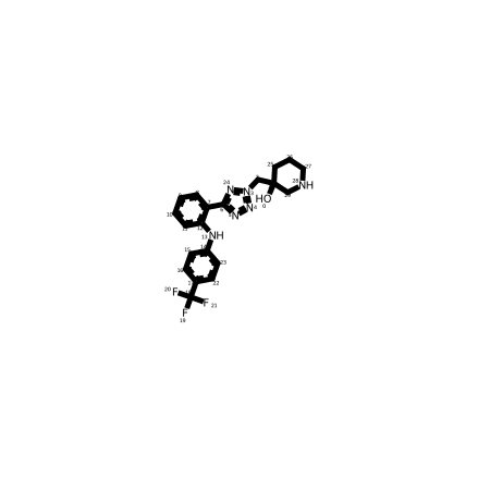 OC1(Cn2nnc(-c3ccccc3Nc3ccc(C(F)(F)F)cc3)n2)CCCNC1